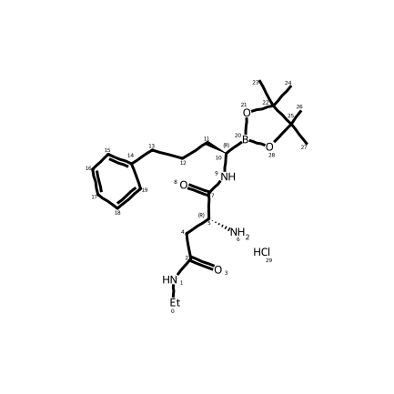 CCNC(=O)C[C@@H](N)C(=O)N[C@@H](CCCc1ccccc1)B1OC(C)(C)C(C)(C)O1.Cl